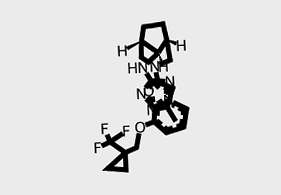 Cc1cc(N2C[C@H]3CC[C@@H](C2)[C@@H]3Nc2nc3c(OCC4(C(F)(F)F)CC4)cccn3n2)on1